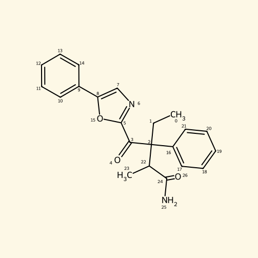 CCC(C(=O)c1ncc(-c2ccccc2)o1)(c1ccccc1)C(C)C(N)=O